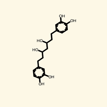 Oc1ccc(CCC(O)CC(O)CCc2ccc(O)c(O)c2)cc1O